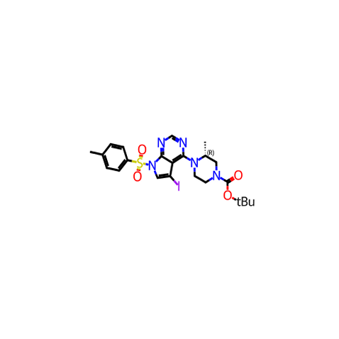 Cc1ccc(S(=O)(=O)n2cc(I)c3c(N4CCN(C(=O)OC(C)(C)C)C[C@H]4C)ncnc32)cc1